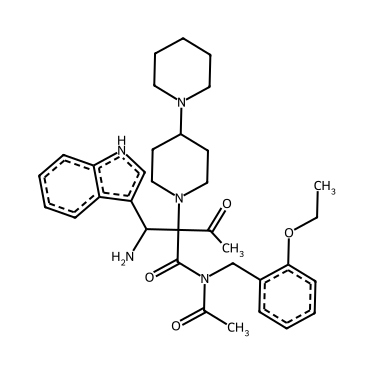 CCOc1ccccc1CN(C(C)=O)C(=O)C(C(C)=O)(C(N)c1c[nH]c2ccccc12)N1CCC(N2CCCCC2)CC1